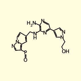 Nc1ncc(-c2cnn(CCO)c2)nc1NCc1ccn2ncc(P=O)c2c1